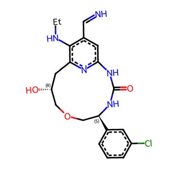 CCNc1c(C=N)cc2nc1C[C@@H](O)COC[C@H](c1cccc(Cl)c1)NC(=O)N2